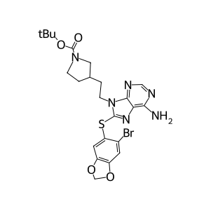 CC(C)(C)OC(=O)N1CCC(CCn2c(Sc3cc4c(cc3Br)OCO4)nc3c(N)ncnc32)C1